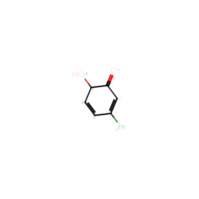 O=C1C=C(Br)C=CC1O